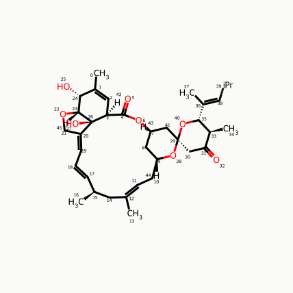 CC1=C[C@H]2C(=O)O[C@H]3C[C@@H](C/C=C(\C)C[C@@H](C)/C=C/C=C4\CO[C@H]([C@@H]1O)[C@@]42O)O[C@@]1(CC(=O)[C@H](C)[C@@H](/C(C)=C/C(C)C)O1)C3